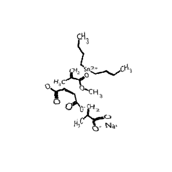 C=C(C)C(=O)OC.C=C(C)C(=O)[O-].CCC[CH2][Sn+2][CH2]CCC.O=C([O-])/C=C\C(=O)[O-].[Na+]